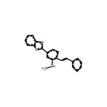 NNc1cc(-c2nc3ccccc3o2)ccc1C=Cc1ccccc1